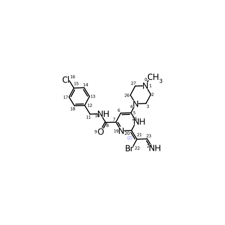 CN1CCN(C2=CC(C(=O)NCc3ccc(Cl)cc3)=N/C(=C(\Br)C=N)N2)CC1